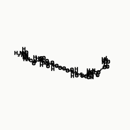 C=C1C[C@H]2C=Nc3cc(OCCCCCOc4cc(N)c(C(=O)N5CC(=C)C[C@H]5C5OCCN5C(O)OCC(C)(C)SSCCC(=O)NCCNC(=O)CCOCCOCCOCCOCCNC(=O)CCN5C(=O)CC(SC[C@H](NC(=O)CCCNC(=O)c6ccc(NCc7cnc8nc(N)[nH]c(=O)c8n7)cc6)C(=O)O)C5=O)cc4OC)c(OC)cc3C(=O)N2C1